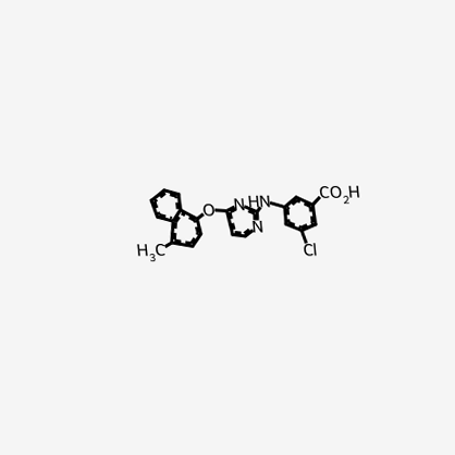 Cc1ccc(Oc2ccnc(Nc3cc(Cl)cc(C(=O)O)c3)n2)c2ccccc12